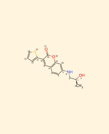 C[C@H](O)CNc1ccc2cc(-c3cccs3)c(=O)oc2c1